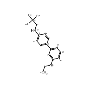 CCNc1cc(-c2cnc(NCC(F)(F)F)nc2)ncn1